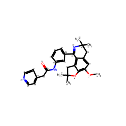 COc1cc2c(c3c1OC(C)(C)C3)C(c1cccc(NC(=O)Cc3ccncc3)c1)=NC(C)(C)C2